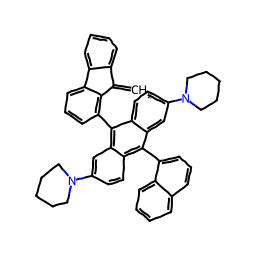 C=C1c2ccccc2-c2cccc(-c3c4cc(N5CCCCC5)ccc4c(-c4cccc5ccccc45)c4cc(N5CCCCC5)ccc34)c21